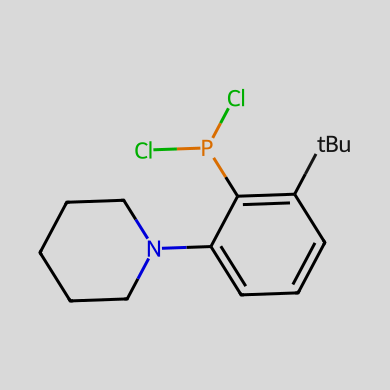 CC(C)(C)c1cccc(N2CCCCC2)c1P(Cl)Cl